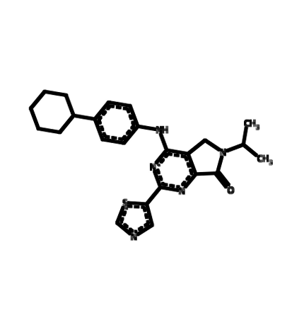 CC(C)N1Cc2c(Nc3ccc(C4CCCCC4)cc3)nc(-c3cncs3)nc2C1=O